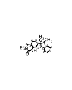 C=PC(C)(Cc1ccccc1)c1ccc2c(c1)NC(=O)N(CC)C2